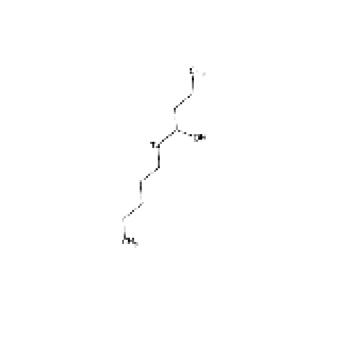 CCCC[CH2][Ta][CH](O)CCC